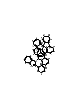 c1ccc(-c2nc3ccccc3n2-c2c3ccccc3c(-c3cccc4c3C3(c5ccccc5-c5ccccc53)c3ccccc3-4)c3ccccc23)cc1